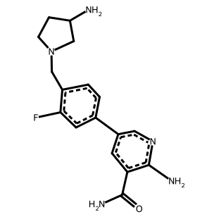 NC(=O)c1cc(-c2ccc(CN3CCC(N)C3)c(F)c2)cnc1N